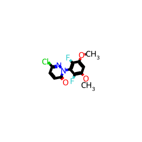 COc1cc(OC)c(F)c(-n2nc(Cl)ccc2=O)c1F